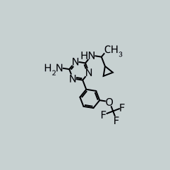 CC(Nc1nc(N)nc(-c2cccc(OC(F)(F)F)c2)n1)C1CC1